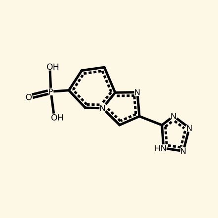 O=P(O)(O)c1ccc2nc(-c3nnn[nH]3)cn2c1